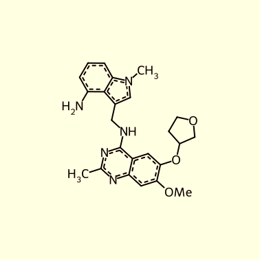 COc1cc2nc(C)nc(NCc3cn(C)c4cccc(N)c34)c2cc1OC1CCOC1